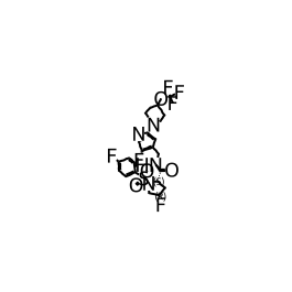 O=C(NCc1cc(N2CCC(OC(F)(F)F)CC2)ncc1F)[C@@H]1C[C@@H](F)CN1S(=O)(=O)c1ccc(F)cc1